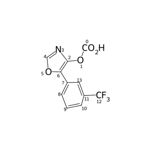 O=C(O)Oc1ncoc1-c1cccc(C(F)(F)F)c1